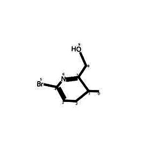 CC1CC=C(Br)N=C1CO